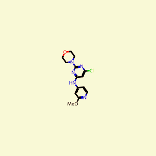 COc1cc(Nc2cc(Cl)nc(N3CCOCC3)n2)ccn1